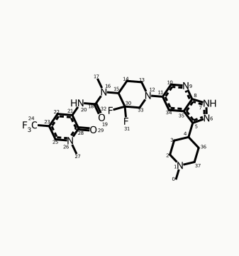 CN1CCC(c2n[nH]c3ncc(N4CCC(N(C)C(=O)Nc5cc(C(F)(F)F)cn(C)c5=O)C(F)(F)C4)cc23)CC1